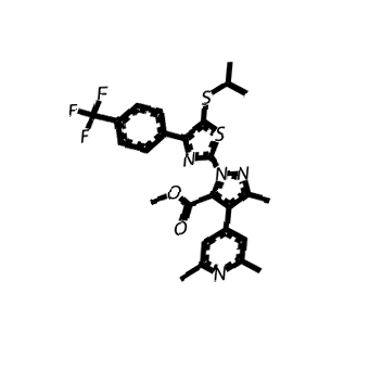 COC(=O)c1c(-c2cc(C)nc(C)c2)c(C)nn1-c1nc(-c2ccc(C(F)(F)F)cc2)c(SC(C)C)s1